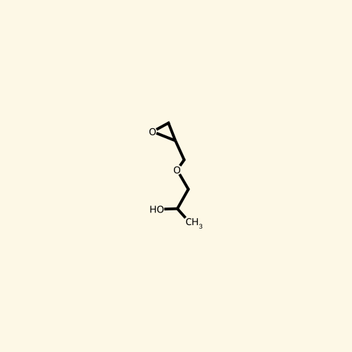 CC(O)COCC1CO1